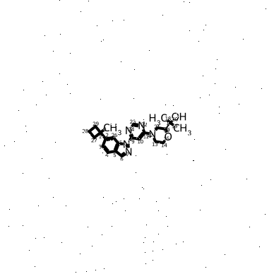 CC1(c2ccc3cnn(-c4cc(N5CCO[C@H](C(C)(C)O)C5)ncn4)c3c2)CCC1